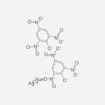 O=[N+]([O-])c1cc([N+](=O)[O-])c([O-])c([N+](=O)[O-])c1.O=[N+]([O-])c1cc([N+](=O)[O-])c([O-])c([N+](=O)[O-])c1.[Ag].[Cu].[NaH]